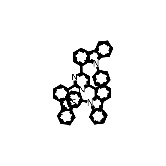 c1ccc(-n2c3ccccc3c3cccc(-c4cc(-c5cccc6c7ccccc7n(-c7ccccc7)c56)nc(-c5cccc6c5sc5ccccc56)n4)c32)cc1